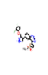 CS(=O)(=O)c1ccc(-c2ncnc3ccc(-c4c[nH]nc4COc4ccc(F)cc4F)cc23)s1